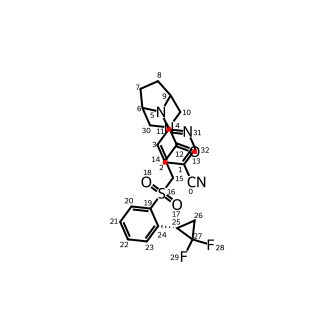 N#Cc1ccc(N2C3CCC2CN(C(=O)CCS(=O)(=O)c2ccccc2[C@@H]2CC2(F)F)C3)nc1